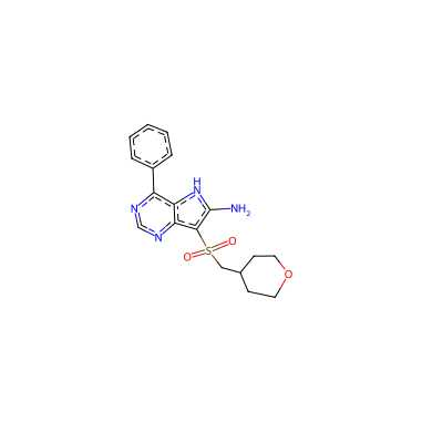 Nc1[nH]c2c(-c3ccccc3)ncnc2c1S(=O)(=O)CC1CCOCC1